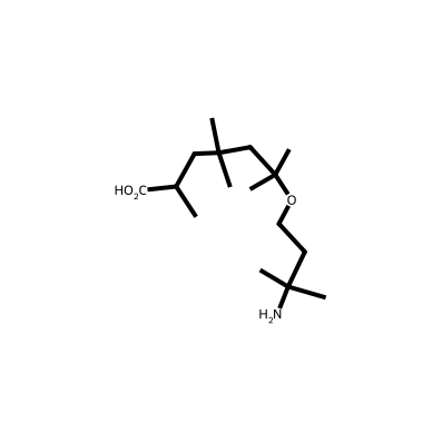 CC(CC(C)(C)CC(C)(C)OCCC(C)(C)N)C(=O)O